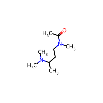 CC(=O)N(C)CCC(C)N(C)C